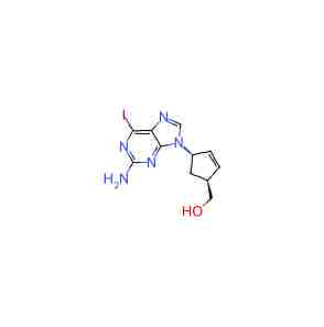 Nc1nc(I)c2ncn([C@H]3C=C[C@@H](CO)C3)c2n1